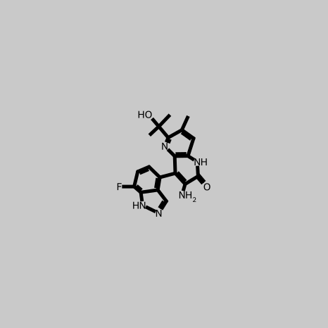 Cc1cc2[nH]c(=O)c(N)c(-c3ccc(F)c4[nH]ncc34)c2nc1C(C)(C)O